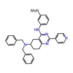 CNc1cccc(Nc2nc(-c3ccncc3)nc3c2CC(N(Cc2ccccc2)Cc2ccccc2)CC3)c1